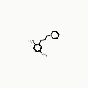 Nc1ccc(N)c(CCCN2C=CC=CC2)c1